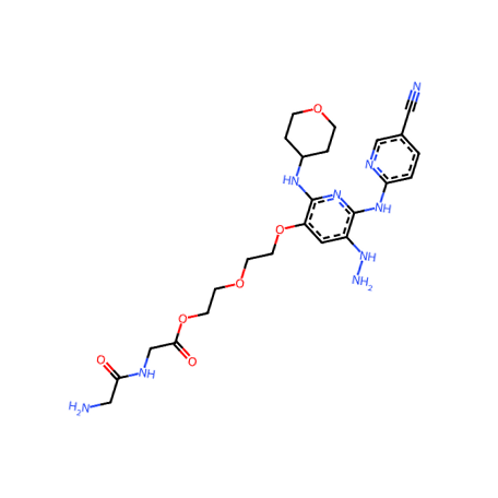 N#Cc1ccc(Nc2nc(NC3CCOCC3)c(OCCOCCOC(=O)CNC(=O)CN)cc2NN)nc1